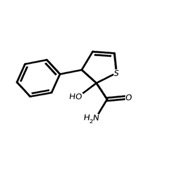 NC(=O)C1(O)SC=CC1c1ccccc1